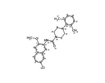 COc1nc2ccc(Cl)cc2nc1NC(=O)N1CCN(c2c(C)cccc2C)CC1